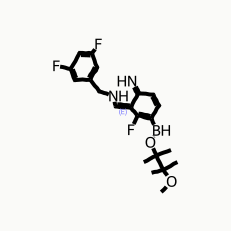 COC(C)(C)C(C)(C)OBC1=C(F)/C(=C/NCc2cc(F)cc(F)c2)C(=N)C=C1